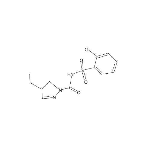 CCC1C=NN(C(=O)NS(=O)(=O)c2ccccc2Cl)C1